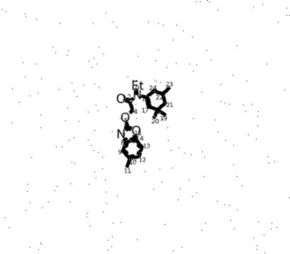 CCN(C(=O)COc1nc2cc(C)ccc2o1)C1=CC(C)(C)CC(C)C1